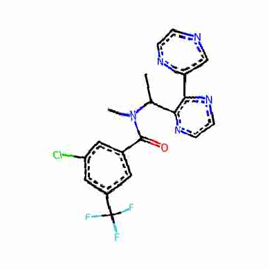 CC(c1nccnc1-c1cnccn1)N(C)C(=O)c1cc(Cl)cc(C(F)(F)F)c1